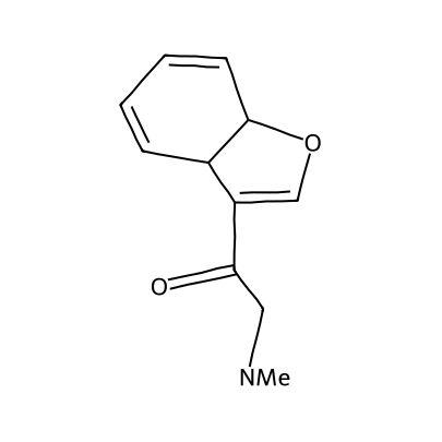 CNCC(=O)C1=COC2C=CC=CC12